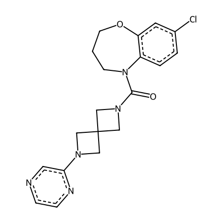 O=C(N1CC2(C1)CN(c1cnccn1)C2)N1CCCOc2cc(Cl)ccc21